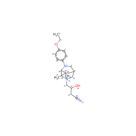 CCOc1ccc(N2CC3CN(CC(O)CC#N)CC2C(C)(C)C3)cc1